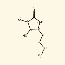 CCC(C)SCCC1NC(=O)C(C(C)=O)C1O